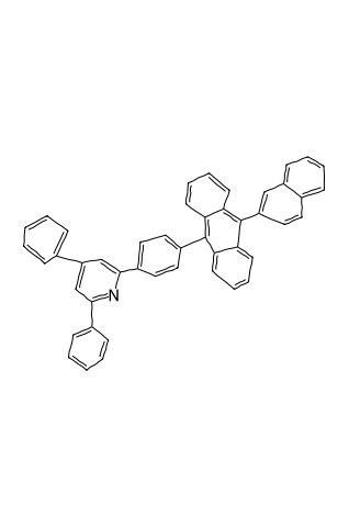 c1ccc(-c2cc(-c3ccccc3)nc(-c3ccc(-c4c5ccccc5c(-c5ccc6ccccc6c5)c5ccccc45)cc3)c2)cc1